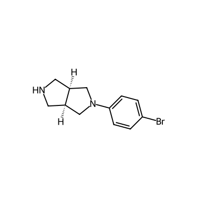 Brc1ccc(N2C[C@H]3CNC[C@H]3C2)cc1